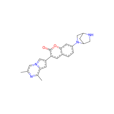 Cc1cn2cc(-c3cc4ccc(N5CC6CC5CN6)cc4oc3=O)cc2c(C)n1